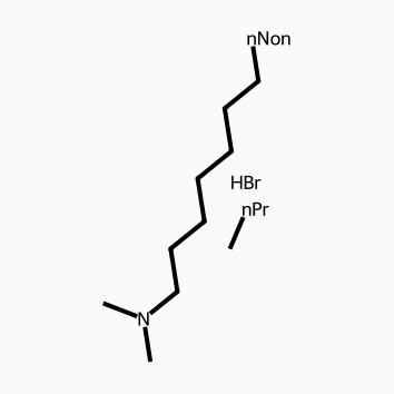 Br.CCCC.CCCCCCCCCCCCCCCCN(C)C